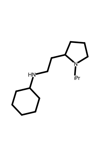 CC(C)N1CCCC1CCNC1CCCCC1